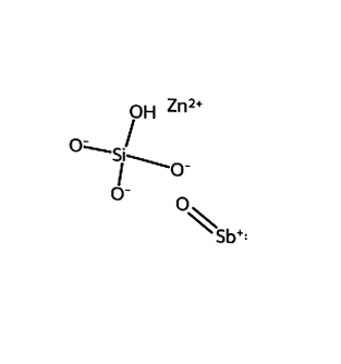 [O-][Si]([O-])([O-])O.[O]=[Sb+].[Zn+2]